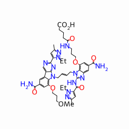 CCn1nc(C)cc1C(=O)Nc1nc2cc(C(N)=O)cc(OCCCNC(=O)CCCC(=O)O)c2n1C/C=C/Cn1c2nc(-c3cc(C)nn3CC)ncc2c2cc(C(N)=O)cc(OCCCOC)c21